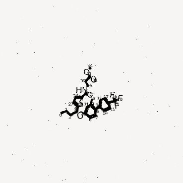 CCCC(Oc1ccc(-c2ccc(C(F)(F)F)cc2)c(C)c1)c1ccc(C(=O)NCCC(=O)OC)s1